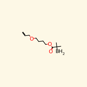 BC(C)(C)C(=O)OCCCCOCC=C